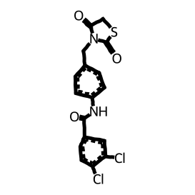 O=C(Nc1ccc(CN2C(=O)CSC2=O)cc1)c1ccc(Cl)c(Cl)c1